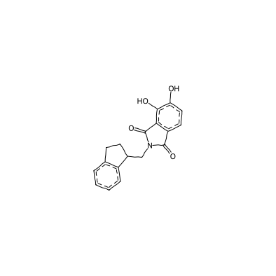 O=C1c2ccc(O)c(O)c2C(=O)N1CC1CCc2ccccc21